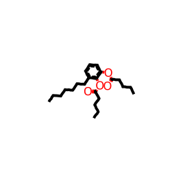 CCCCCCCc1cccc(OC(=O)CCCC)c1OC(=O)CCCC